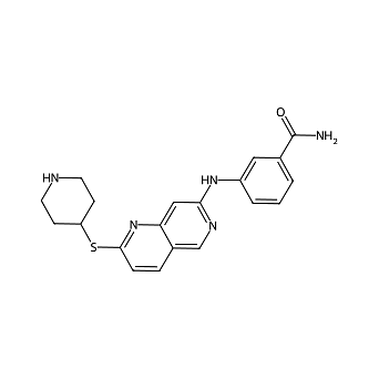 NC(=O)c1cccc(Nc2cc3nc(SC4CCNCC4)ccc3cn2)c1